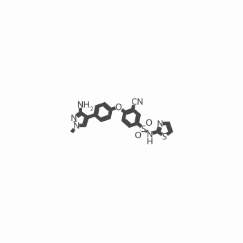 Cn1cc(-c2ccc(Oc3ccc(S(=O)(=O)Nc4nccs4)cc3C#N)cc2)c(N)n1